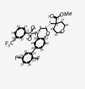 COC(=O)C1(C[C@H]2CN(S(=O)(=O)c3cccc(C(F)(F)F)c3)c3cc(-c4cc(F)ccc4F)ccc3O2)CCOCC1